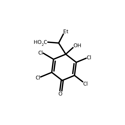 CCC(C(=O)O)C1(O)C(Cl)=C(Cl)C(=O)C(Cl)=C1Cl